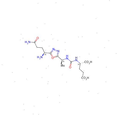 CCC(C)[C@H](NC(=O)N[C@@H](CCC(=O)O)C(=O)O)c1nnc([C@@H](N)CCC(N)=O)o1